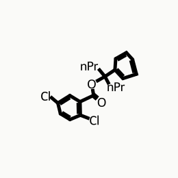 CCCC(CCC)(OC(=O)c1cc(Cl)ccc1Cl)c1ccccc1